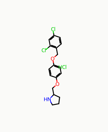 Cl.Clc1ccc(COc2ccc(OCC3CCCN3)cc2)c(Cl)c1